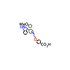 CO[C@H]1CCC[C@@H]1C1(C2CCN(CCCOc3ccc(C(=O)O)cc3)CC2)CNCc2ccccc21